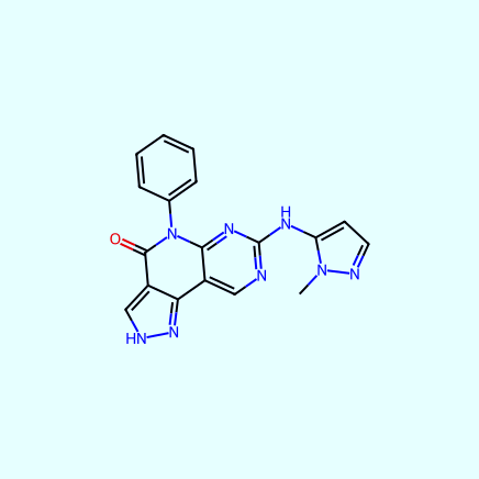 Cn1nccc1Nc1ncc2c3n[nH]cc3c(=O)n(-c3ccccc3)c2n1